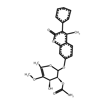 COC1=C(C)OC(Oc2ccc3c(C)c(-c4ccccc4)c(=O)oc3c2)[C@@H](OC(N)=O)[C@H]1O